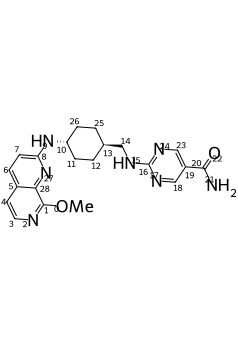 COc1nccc2ccc(N[C@H]3CC[C@H](CNc4ncc(C(N)=O)cn4)CC3)nc12